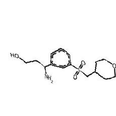 NC(CCO)c1cccc(S(=O)(=O)CC2CCOCC2)c1